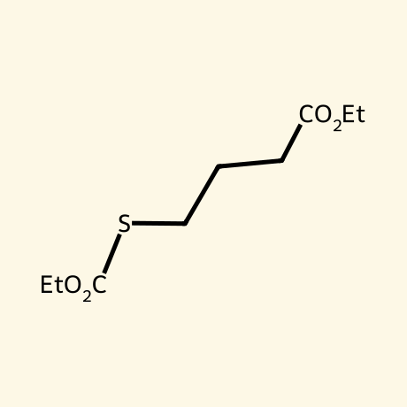 CCOC(=O)CCCSC(=O)OCC